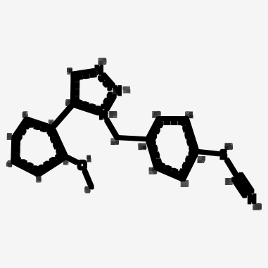 COc1ccccc1-c1cnnn1Cc1ccc(SC#N)cc1